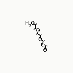 CCCOCCOCO[C]=O